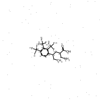 CCC(CC(CN)C(=O)O)c1ccc(C(F)(F)F)c(C(F)(F)F)c1C(F)(F)F